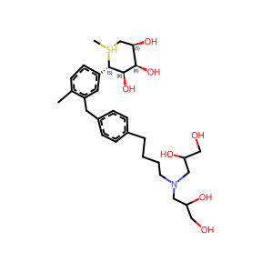 Cc1ccc([C@H]2[C@H](O)[C@H](O)[C@H](O)C[SH]2C)cc1Cc1ccc(CCCCN(CC(O)CO)CC(O)CO)cc1